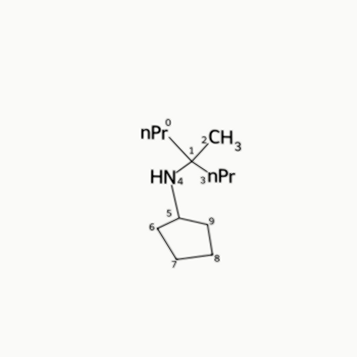 CCCC(C)(CCC)NC1CCCC1